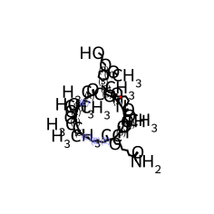 CO[C@@H]1C[C@H](C[C@@H](C)[C@@H]2CC(=O)[C@H](C)/C=C(\C)[C@@H](O)[C@@H](OC)C(=O)[C@H](C)C[C@H](C)/C=C/C=C/C=C(\C)C(OCCCCC(N)=O)C[C@@H]3CC[C@@H](C)[C@@](O)(O3)C(=O)C(=O)N3CCCC[C@H]3C(=O)O2)CC[C@H]1OCCO